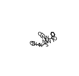 Cc1oc2ccccc2c1-c1nc(N2CCOCC2)c2nc(CN3CC(N4CCOCC4)C3)sc2n1